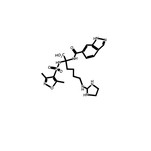 Cc1noc(C)c1S(=O)(=O)NC(CCCCNC1NCCN1)(NC(=O)c1ccc2cn[nH]c2c1)C(=O)O